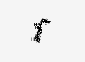 O=S(=O)(c1cccc(OCC(O)CNC2COC3(CCN(S(=O)(=O)c4c[nH]c5ncccc45)CC3)C2)c1)C1CC1